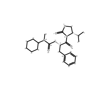 CC(C)[C@H]1COC(=O)N1C(=O)[C@@H](CC(=O)N(C)C1CCCCC1)Cc1ccccc1